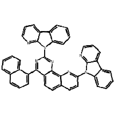 c1ccc2c(-c3nc(-n4c5ccccc5c5cccnc54)nc4c3ccc3ccc(-n5c6ccccc6c6cccnc65)nc34)cccc2c1